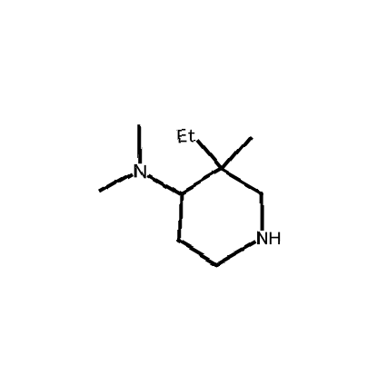 CCC1(C)CNCCC1N(C)C